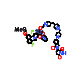 C#Cc1c(F)ccc2cc(OCOC)cc(-c3ncc4c(N5CC6CCC(C5)N6C(=O)OC(C)(C)C)nc(OCCN5CCC(CC6CCN(CC7CCN(c8ccc9c(c8)CN([C@@H]8CCC(=O)NC8=O)C9=O)CC7)CC6)CC5)nc4c3F)c12